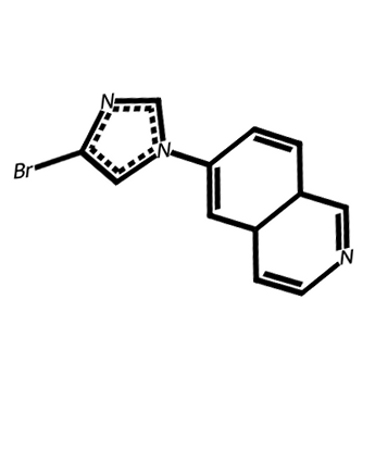 Brc1cn(C2=CC3C=CN=CC3C=C2)cn1